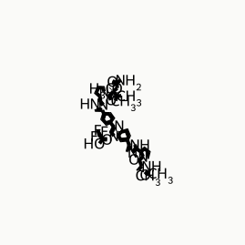 CCC(NC(C)=O)C(=O)N1CCCC1c1ncc(-c2ccc3nc(-c4ccc(-c5c[nH]c(C6CCCN6C(=O)[C@@](C)(OC(N)=O)C(C)C)n5)cc4)cnc3c2)[nH]1.O=C(O)C(F)(F)F